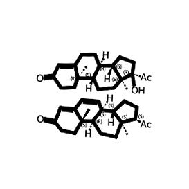 CC(=O)[C@@]1(O)CC[C@H]2[C@@H]3CCC4=CC(=O)CC[C@]4(C)[C@H]3CC[C@@]21C.CC(=O)[C@H]1CC[C@H]2[C@@H]3C=CC4=CC(=O)CC[C@@]4(C)[C@@H]3CC[C@]12C